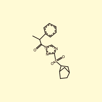 CC(C(=O)n1cnc(S(=O)(=O)C2CC3CCC2C3)n1)c1ccccc1